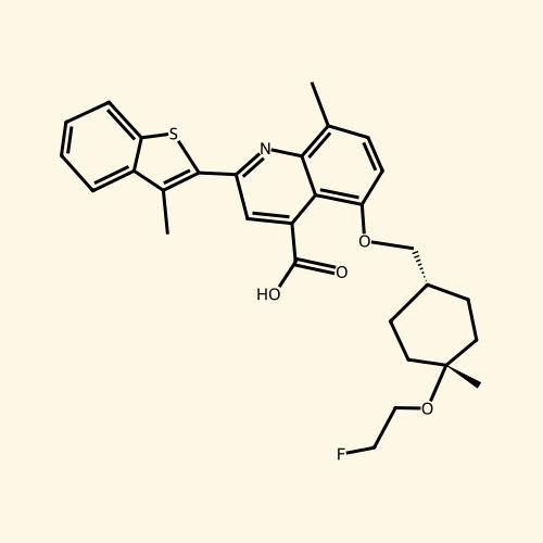 Cc1c(-c2cc(C(=O)O)c3c(OC[C@H]4CC[C@@](C)(OCCF)CC4)ccc(C)c3n2)sc2ccccc12